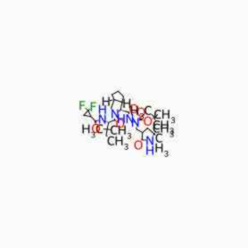 CCC(C)(C)[C@H](NC(=O)C1CC1(F)F)C(=O)N1C[C@@H]2CCC[C@@H]2[C@H]1C(=O)NN(CC1CC(C)(C)NC1=O)C(=O)OC(C)(C)C